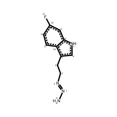 NN=NCCc1c[nH]c2cc(F)ccc12